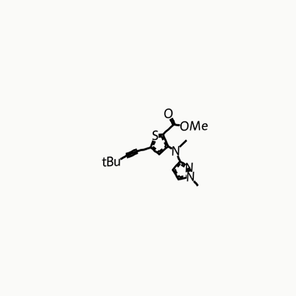 COC(=O)c1sc(C#CC(C)(C)C)cc1N(C)c1ccn(C)n1